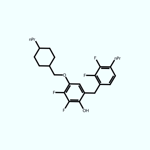 CCCc1ccc(Cc2cc(OCC3CCC(CCC)CC3)c(F)c(F)c2O)c(F)c1F